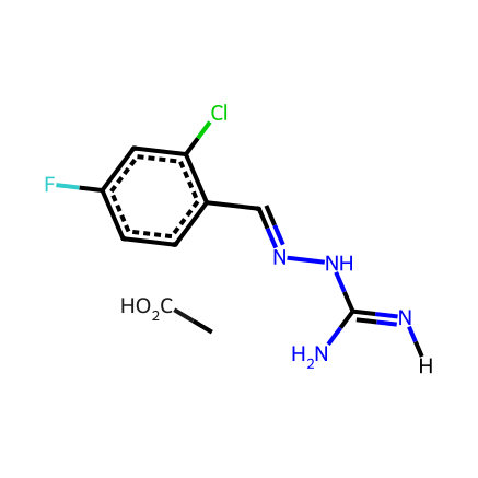 CC(=O)O.[H]/N=C(\N)NN=Cc1ccc(F)cc1Cl